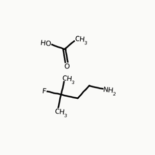 CC(=O)O.CC(C)(F)CCN